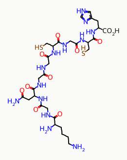 NCCCCC(N)C(=O)NCC(=O)NC(CC(N)=O)C(=O)NCC(=O)NCC(=O)NC(CS)C(=O)NCC(=O)NC(CS)C(=O)NC(Cc1c[nH]cn1)C(=O)O